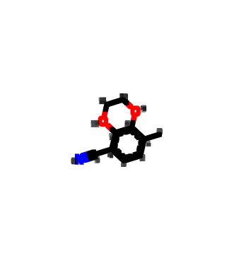 Cc1ccc(C#N)c2c1OCCO2